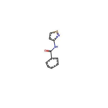 O=C(Nc1ccsn1)c1ccccc1